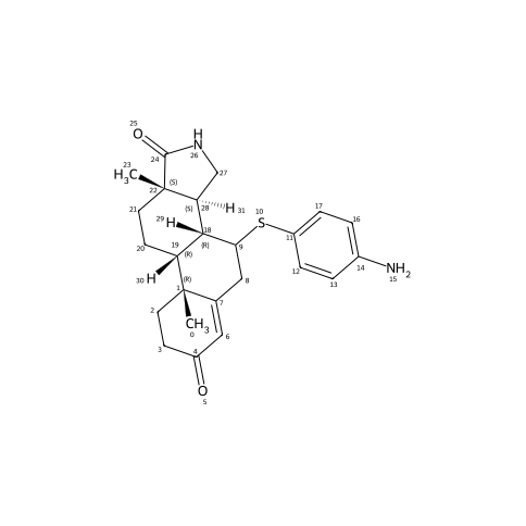 C[C@]12CCC(=O)C=C1CC(Sc1ccc(N)cc1)[C@@H]1[C@H]2CC[C@]2(C)C(=O)NC[C@@H]12